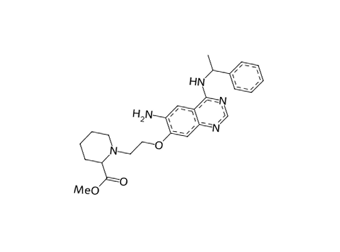 COC(=O)C1CCCCN1CCOc1cc2ncnc(NC(C)c3ccccc3)c2cc1N